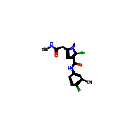 Cn1c(CC(=O)NC(C)(C)C)cc(C(=O)Nc2ccc(F)c(C#N)c2)c1Br